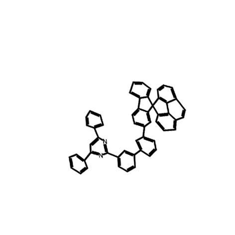 c1ccc(-c2cc(-c3ccccc3)nc(-c3cccc(-c4cccc(-c5ccc6c(c5)C5(c7ccccc7-6)c6cccc7ccc8cccc5c8c67)c4)c3)n2)cc1